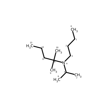 CCCCN(C(C)C)C(C)(C)CCC